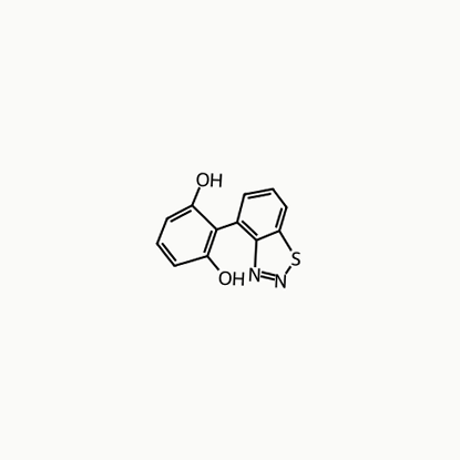 Oc1cccc(O)c1-c1cccc2snnc12